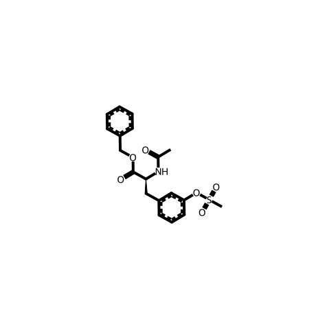 CC(=O)N[C@@H](Cc1cccc(OS(C)(=O)=O)c1)C(=O)OCc1ccccc1